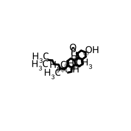 CC(C)CCC[C@@H](C)[C@H]1CC[C@H]2[C@@H]3CC=C4C[C@@H](O)CC(P=O)[C@]4(C)[C@H]3CC[C@]12C